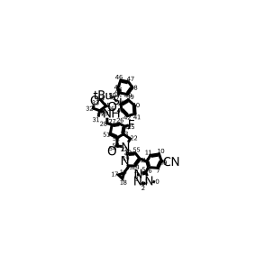 Cn1cnnc1-c1cc(C#N)ccc1-c1cc(C2CC2)nc(N2Cc3c(F)cc(CNC4(C)COCC4O[Si](c4ccccc4)(c4ccccc4)C(C)(C)C)cc3C2=O)c1